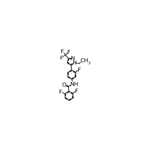 CCn1nc(C(F)(F)F)cc1-c1ccc(NC(=O)c2c(F)cccc2F)cc1F